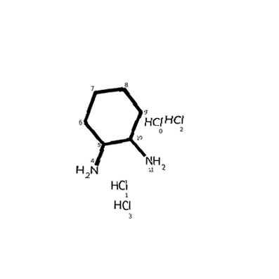 Cl.Cl.Cl.Cl.NC1CCCCC1N